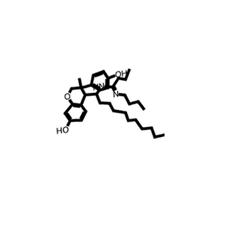 CCCCCCCCCCC(NC(CCC)=NCCCC)C1c2ccc(O)cc2OCC1(C)c1ccc(O)cc1